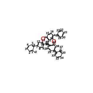 Cc1ccccc1-c1ccc2c(c1)Oc1ccc(-c3ccccc3)c3c1B2c1ccc(-c2ccccc2C)cc1O3